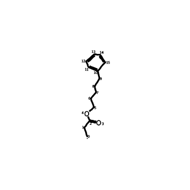 [CH2]CC(=O)OCCCCCc1ccccc1